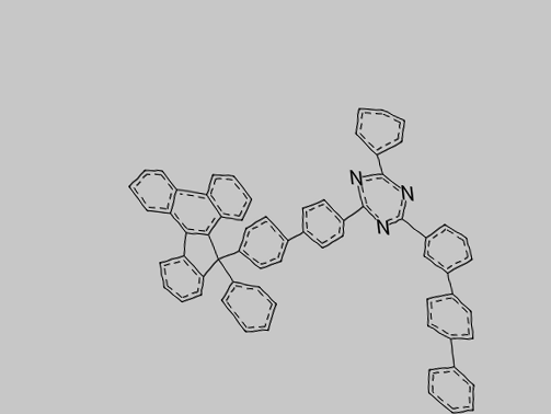 c1ccc(-c2ccc(-c3cccc(-c4nc(-c5ccccc5)nc(-c5ccc(-c6ccc(C7(c8ccccc8)c8ccccc8-c8c7c7ccccc7c7ccccc87)cc6)cc5)n4)c3)cc2)cc1